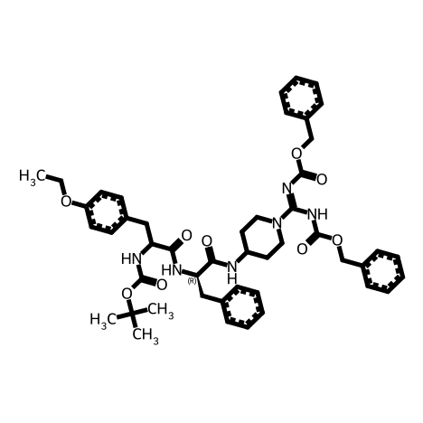 CCOc1ccc(CC(NC(=O)OC(C)(C)C)C(=O)N[C@H](Cc2ccccc2)C(=O)NC2CCN(C(=NC(=O)OCc3ccccc3)NC(=O)OCc3ccccc3)CC2)cc1